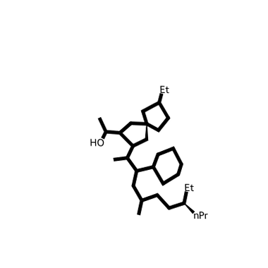 CCC[C@H](CC)CCC(C)CC(C1CCCCC1)C(C)C1C[C@@]2(CCC(CC)C2)CC1C(C)O